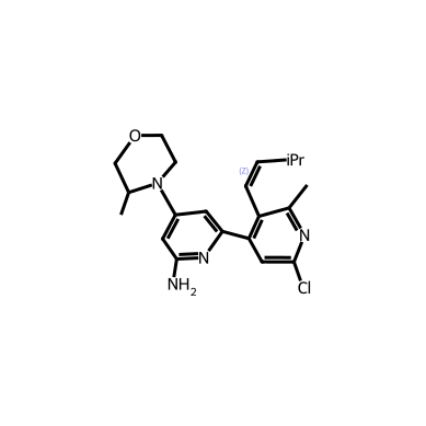 Cc1nc(Cl)cc(-c2cc(N3CCOCC3C)cc(N)n2)c1/C=C\C(C)C